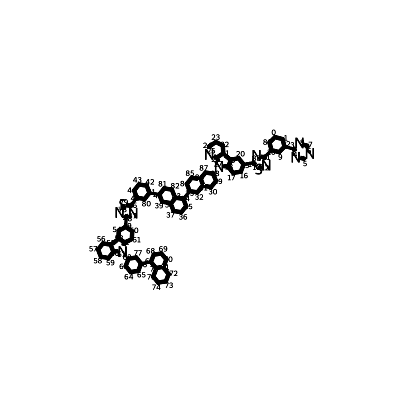 c1cc(-c2ncncn2)cc(-c2nsc(-c3ccc4c(c3)c3cccnc3n4-c3ccc4cc(-c5cccc6cc(-c7cccc(-c8nc(-c9ccc%10c(c9)c9ccccc9n%10-c9cccc(-c%10cccc%11ccccc%10%11)c9)ns8)c7)ccc56)ccc4c3)n2)c1